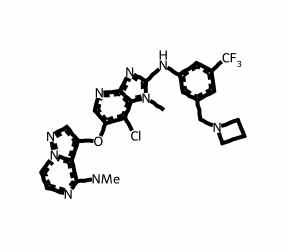 CNc1nccn2ncc(Oc3cnc4nc(Nc5cc(CN6CCC6)cc(C(F)(F)F)c5)n(C)c4c3Cl)c12